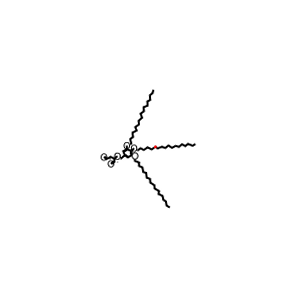 CCCCCCCCCCCCCCCCCCOc1cc(COC([C]=O)C[C]=O)cc(OCCCCCCCCCCCCCCCCCC)c1OCCCCCCCCCCCCCCCCCC